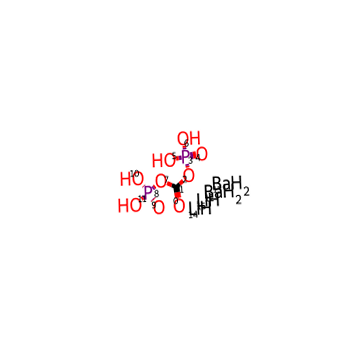 O=C(OP(=O)(O)O)OP(=O)(O)O.[BaH2].[BaH2].[LiH].[LiH]